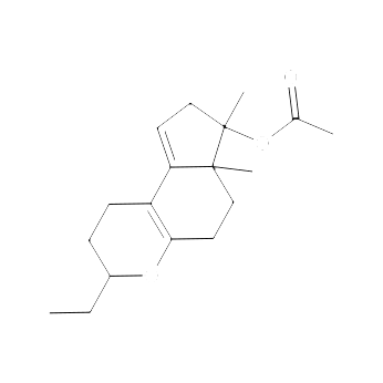 CCC1CCC2=C(CCC3(C)C2=CCC3(C)OC(C)=O)O1